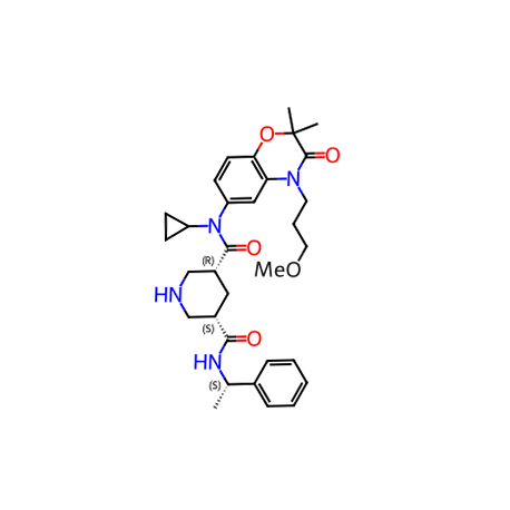 COCCCN1C(=O)C(C)(C)Oc2ccc(N(C(=O)[C@H]3CNC[C@@H](C(=O)N[C@@H](C)c4ccccc4)C3)C3CC3)cc21